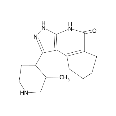 CC1CNCCC1c1n[nH]c2[nH]c(=O)c3c(c12)CCCC3